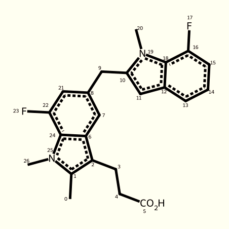 Cc1c(CCC(=O)O)c2cc(Cc3cc4cccc(F)c4n3C)cc(F)c2n1C